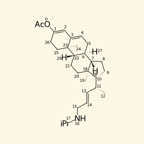 CC(=O)OC1=CC2=CC[C@H]3[C@@H]4CC[C@H]([C@H](C)/C=C/CNC(C)C)[C@@]4(C)CC[C@@H]3[C@@]2(C)CC1